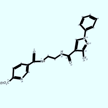 CCOC(=O)c1ccc(C(=O)NCCNC(=O)c2cn(-c3ccccc3)nc2C(F)(F)F)cn1